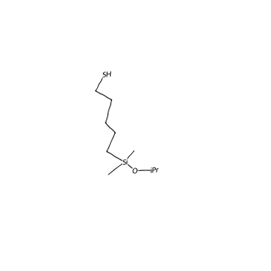 CC(C)O[Si](C)(C)CCCCCS